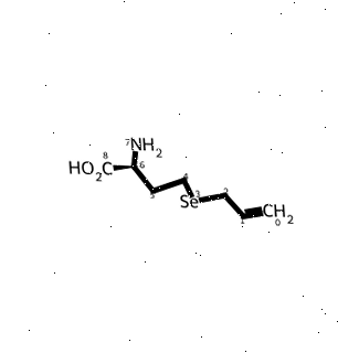 C=CC[Se]CC[C@H](N)C(=O)O